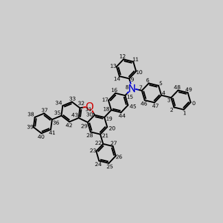 c1ccc(-c2ccc(N(c3ccccc3)c3ccc(-c4cc(-c5ccccc5)cc5c4oc4ccc(-c6ccccc6)cc45)cc3)cc2)cc1